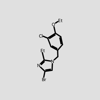 CCOc1ccc(Cn2cc(Br)nc2CC)cc1Cl